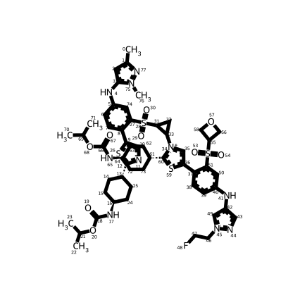 Cc1cc(Nc2ccc(-c3cnc([C@H]4CC[C@H](NC(=O)OC(C)C)CC4)s3)c(S(=O)(=O)C3CC3[n+]3cc(-c4ccc(Nc5cnn(CCF)c5)cc4S(=O)(=O)C4COC4)sc3[C@H]3CC[C@H](NC(=O)OC(C)C)CC3)c2)n(C)n1